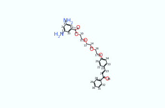 Nc1cc(N)cc(C(=O)OCCOCCOCCOc2ccc(C=CC(=O)c3ccccc3)cc2)c1